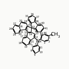 Cc1ccc(N(c2ccccc2)c2cc3c(c4ccccc24)-c2c(ccc4ccccc24)C32c3ccccc3-c3ccccc32)cc1